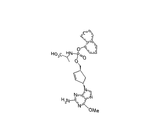 COc1nc(N)nc2c1ncn2[C@H]1C=C[C@@H](COP(=O)(NC(C)C(=O)O)Oc2cccc3ccccc23)C1